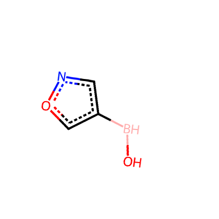 OBc1cnoc1